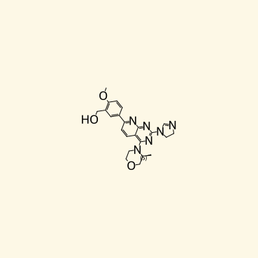 COc1ccc(-c2ccc3c(N4CCOC[C@@H]4C)nc(N4C=NCC4)nc3n2)cc1CO